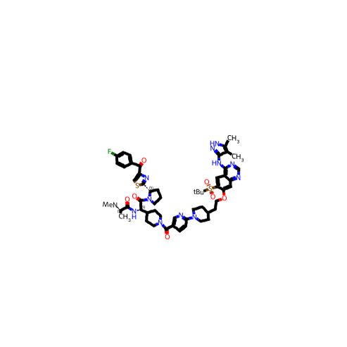 CN[C@@H](C)C(=O)N[C@H](C(=O)N1CCC[C@H]1c1nc(C(=O)c2ccc(F)cc2)cs1)C1CCN(C(=O)c2ccc(N3CCC(CCOc4cc5ncnc(Nc6n[nH]c(C)c6C)c5cc4S(=O)(=O)C(C)(C)C)CC3)nc2)CC1